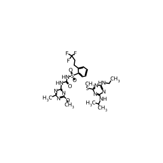 CCNc1nc(NC(C)C)nc(SC)n1.COc1nc(C)nc(NC(=O)NS(=O)(=O)c2ccccc2CCC(F)(F)F)n1